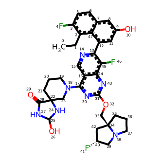 CCc1c(F)ccc2cc(O)cc(-c3ncc4c(N5CCCC6(C5)NC(O)NC6=O)nc(OC[C@@]56CCCN5C[C@H](F)C6)nc4c3F)c12